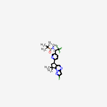 CN([C@@H](c1ccc(C2CC(C)(C)c3c2cnc2cc(F)nn32)nc1)C(F)(F)F)[S@+]([O-])C(C)(C)C